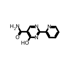 NC(=O)c1cnc(-c2ccccn2)nc1O